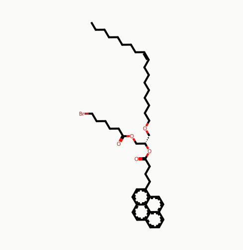 CCCCCCCC/C=C\CCCCCCCCOC[C@@H](COC(=O)CCCCCBr)OC(=O)CCCc1ccc2ccc3cccc4ccc1c2c34